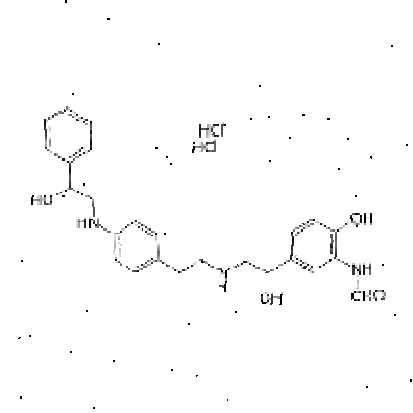 Cl.Cl.O=CNc1cc(C(O)CNCCc2ccc(NCC(O)c3ccccc3)cc2)ccc1O